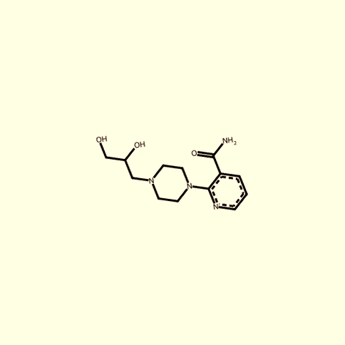 NC(=O)c1cccnc1N1CCN(CC(O)CO)CC1